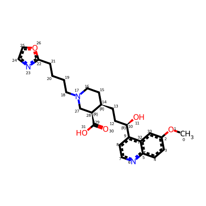 COc1ccc2nccc([C@H](O)CC[C@@H]3CCN(CCCCc4ncco4)C[C@@H]3C(=O)O)c2c1